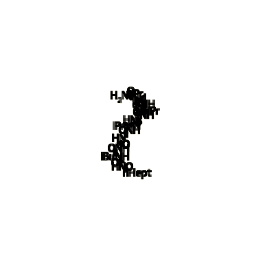 CCCCCCCC(=O)NCC(=O)NC(C(=O)NCC(=O)NCC(=O)N[C@@H](CC(C)C)C1=NC[C@@H](C(=O)NC(C(=O)N[C@@H](CC(C)C)C(=O)NCC(N)=O)C(C)C)N1)[C@@H](C)CC